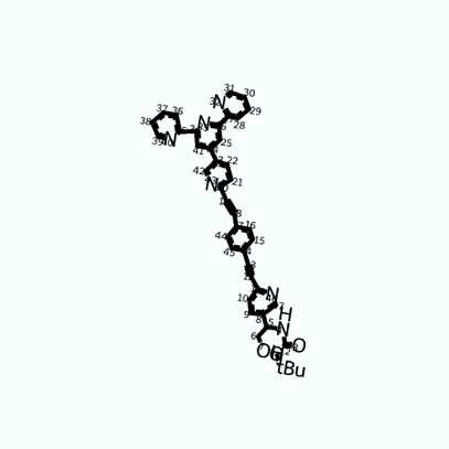 CC(C)(C)OC(=O)NC(CO)c1ccc(C#Cc2ccc(C#Cc3ccc(-c4cc(-c5ccccn5)nc(-c5ccccn5)c4)cn3)cc2)nc1